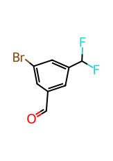 O=Cc1cc(Br)cc(C(F)F)c1